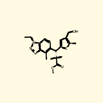 CCn1nnc2c(C)c([C@H](c3cc(CO)c(C)s3)C(C)(C)C(=O)OC)ccc21